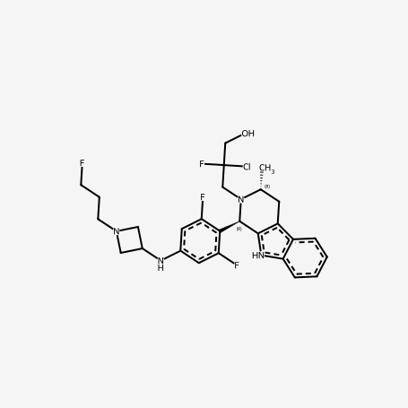 C[C@@H]1Cc2c([nH]c3ccccc23)[C@@H](c2c(F)cc(NC3CN(CCCF)C3)cc2F)N1CC(F)(Cl)CO